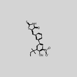 CCC(C)(C)c1cc(-c2cccc(C=C3SC(=S)NC3=O)c2)cc([N+](=O)[O-])c1O